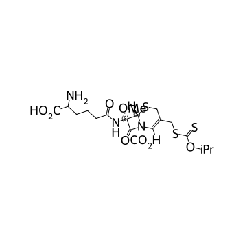 CO[C@@]1(NC(=O)CCCC(N)C(=O)O)C(=O)N2C(C(=O)O)=C(CSC(=S)OC(C)C)CS[C@H]21